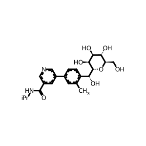 Cc1cc(-c2cncc(C(=O)NC(C)C)c2)ccc1[C@@H](O)[C@H]1O[C@H](CO)[C@@H](O)[C@H](O)[C@@H]1O